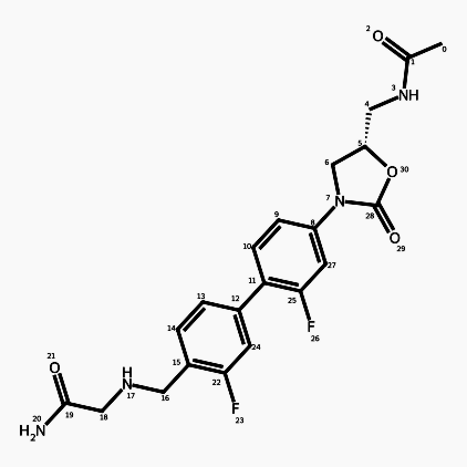 CC(=O)NC[C@H]1CN(c2ccc(-c3ccc(CNCC(N)=O)c(F)c3)c(F)c2)C(=O)O1